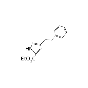 CCOC(=O)c1cc(CCc2ccccc2)c[nH]1